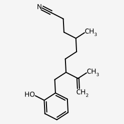 C=C(C)C(CCC(C)CCC#N)Cc1ccccc1O